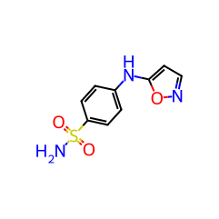 NS(=O)(=O)c1ccc(Nc2ccno2)cc1